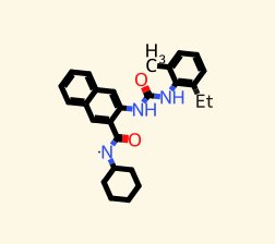 CCc1cccc(C)c1NC(=O)Nc1cc2ccccc2cc1C(=O)[N]C1CCCCC1